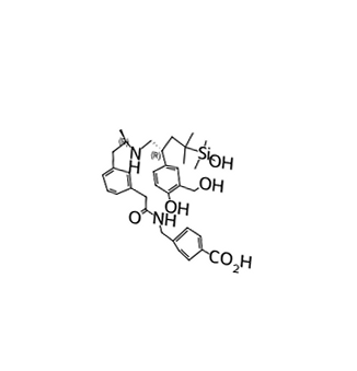 C[C@H](Cc1cccc(CC(=O)NCc2ccc(C(=O)O)cc2)c1)NC[C@H](CC(C)(C)[Si](C)(C)O)c1ccc(O)c(CO)c1